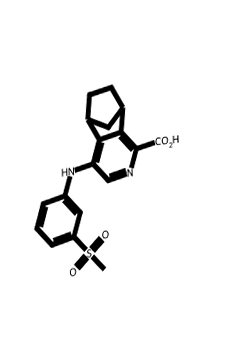 CS(=O)(=O)c1cccc(Nc2cnc(C(=O)O)c3c2C2CCC3C2)c1